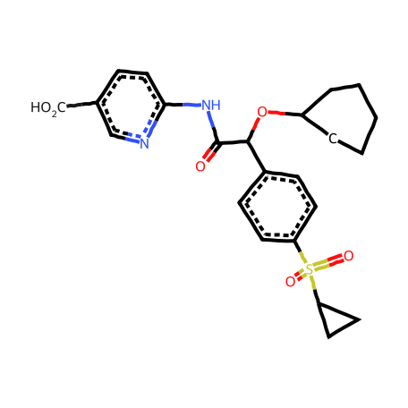 O=C(O)c1ccc(NC(=O)C(OC2CCCCC2)c2ccc(S(=O)(=O)C3CC3)cc2)nc1